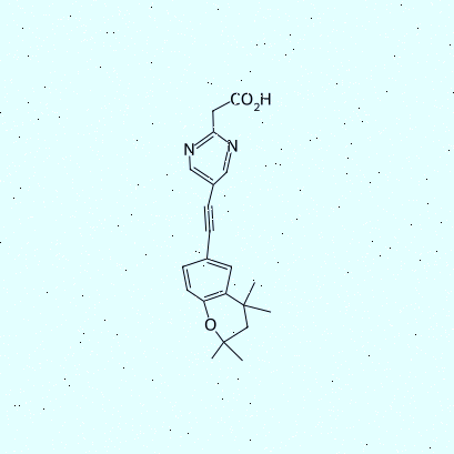 CC1(C)CC(C)(C)c2cc(C#Cc3cnc(CC(=O)O)nc3)ccc2O1